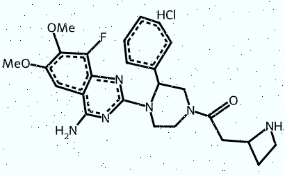 COc1cc2c(N)nc(N3CCN(C(=O)CC4CCN4)CC3c3ccccc3)nc2c(F)c1OC.Cl